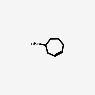 CCCCC1CC=CCCC1